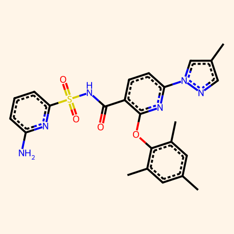 Cc1cc(C)c(Oc2nc(-n3cc(C)cn3)ccc2C(=O)NS(=O)(=O)c2cccc(N)n2)c(C)c1